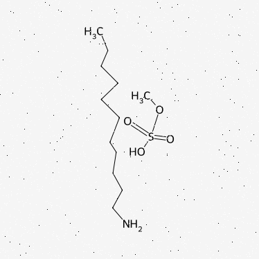 CCCCCCCCCCCN.COS(=O)(=O)O